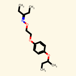 CCC(CC)=NOCCOc1ccc(OC(C)CC)cc1